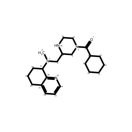 CN(CC1CN(C(=O)C2CCCCC2)CCN1)C1CCCc2cccnc21